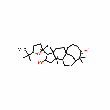 COC(C)(C)C1CC[C@](C)(C2C(O)C[C@@]3(C)C4CCC5CC4(CCC[C@H](O)C5(C)C)CCC23C)O1